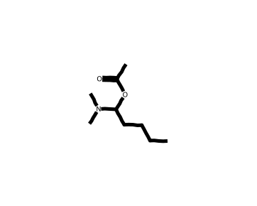 CCCCC(OC(C)=O)N(C)C